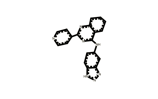 c1ccc2c(Nc3ccc4[nH]nnc4c3)nc(-c3ccncc3)nc2c1